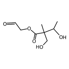 CC(O)C(C)(CO)C(=O)OCC=O